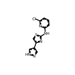 Clc1cccc(Nc2nc(-c3cn[nH]c3)cs2)n1